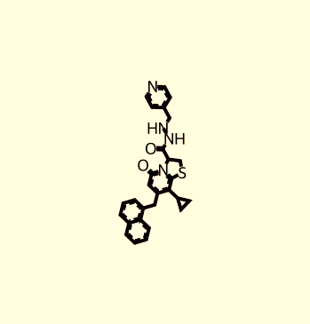 O=C(NNCc1ccncc1)C1CSc2c(C3CC3)c(Cc3cccc4ccccc34)cc(=O)n21